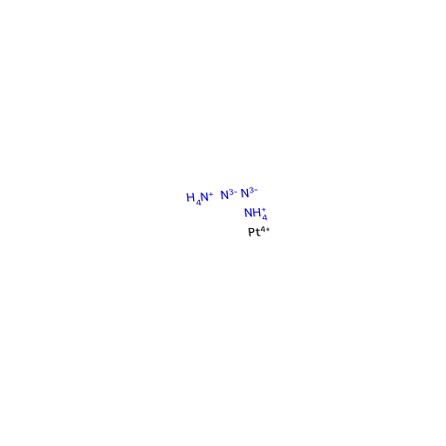 [N-3].[N-3].[NH4+].[NH4+].[Pt+4]